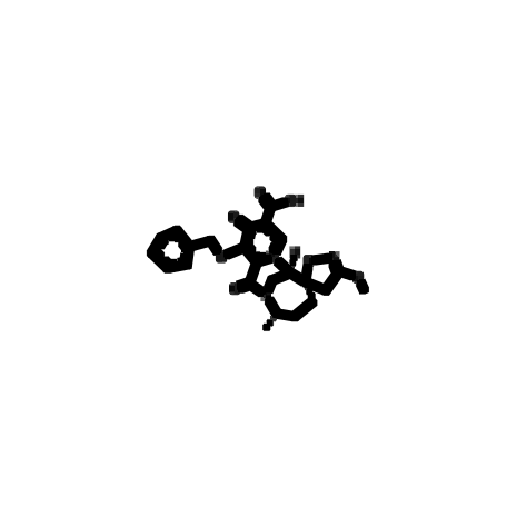 COC1=NO[C@@]2(CC[C@H](C)N3C[C@H]2n2cc(C(=O)O)c(=O)c(OCc4ccccc4)c2C3=O)C1